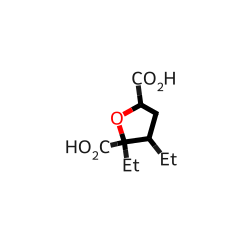 CCC1CC(C(=O)O)OC1(CC)C(=O)O